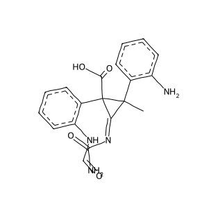 CC1(c2ccccc2N)C(=NC(N)=O)C1(C(=O)O)c1ccccc1NC=O